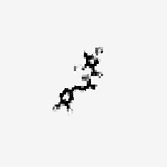 C=C1C(O)=C(C(=O)NC(C)CCc2ccc(Cl)c(Cl)c2)CN1CC